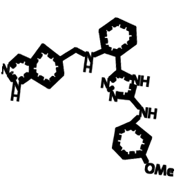 COc1cccc(Nc2nnc(-c3ccccc3NCc3ccc4[nH]ncc4c3)[nH]2)c1